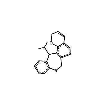 CC(C)C1c2ccccc2SCc2ccc3c(c21)OCC=C3